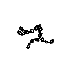 c1ccc(-c2ccc(-c3ccc(N(c4ccc(-c5ccc(-c6ccccc6)cc5)cc4)c4ccc(-c5ccc6oc7ccc(-c8ccc(-c9ccc%10c(c9)c9ccccc9n%10-c9ccccc9)cc8)cc7c6c5)cc4)cc3)cc2)cc1